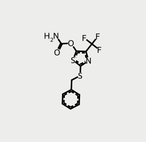 NC(=O)Oc1sc(SCc2ccccc2)nc1C(F)(F)F